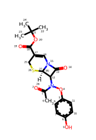 CC(=O)N(Oc1ccc(O)cc1)C1C(=O)N2C=C(C(=O)OC(C)(C)C)CS[C@H]12